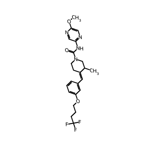 COc1cnc(NC(=O)N2CC/C(=C\c3cccc(OCCCC(F)(F)F)c3)C(C)C2)cn1